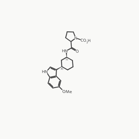 COc1ccc2[nH]cc([C@@H]3CCC[C@H](NC(=O)C4CCCN4C(=O)O)C3)c2c1